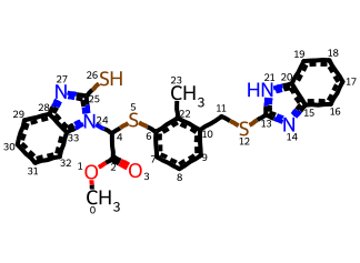 COC(=O)C(Sc1cccc(CSc2nc3ccccc3[nH]2)c1C)n1c(S)nc2ccccc21